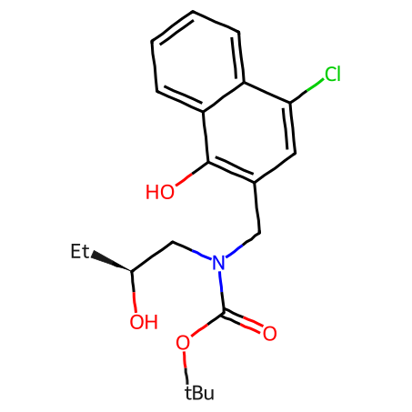 CC[C@H](O)CN(Cc1cc(Cl)c2ccccc2c1O)C(=O)OC(C)(C)C